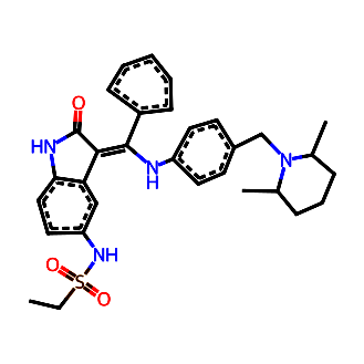 CCS(=O)(=O)Nc1ccc2c(c1)/C(=C(\Nc1ccc(CN3C(C)CCCC3C)cc1)c1ccccc1)C(=O)N2